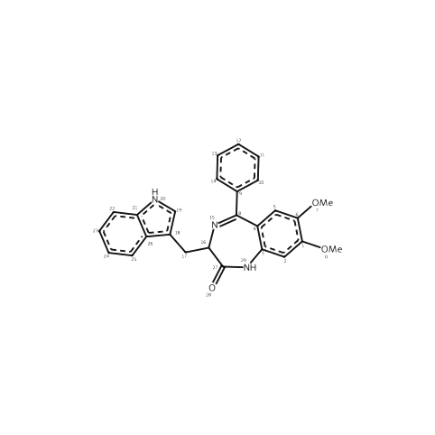 COc1cc2c(cc1OC)C(c1ccccc1)=NC(Cc1c[nH]c3ccccc13)C(=O)N2